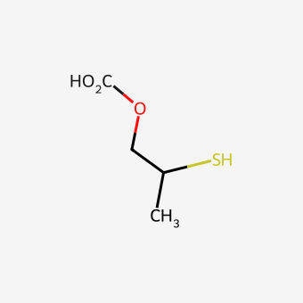 CC(S)COC(=O)O